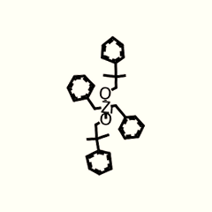 CC(C)(C[O][Zr]([CH2]c1ccccc1)([CH2]c1ccccc1)[O]CC(C)(C)c1ccccc1)c1ccccc1